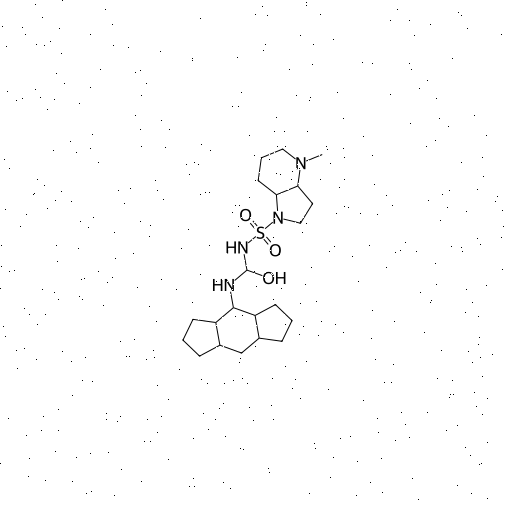 CN1CCCC2C1CCN2S(=O)(=O)NC(O)NC1C2CCCC2CC2CCCC21